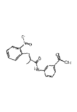 C/C(=C\c1ccccc1[N+](=O)[O-])C(=O)Nc1cccc(C(=O)O)c1